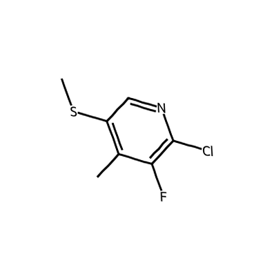 CSc1cnc(Cl)c(F)c1C